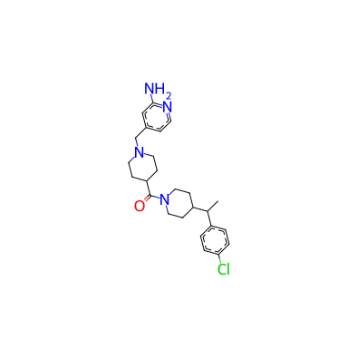 CC(c1ccc(Cl)cc1)C1CCN(C(=O)C2CCN(Cc3ccnc(N)c3)CC2)CC1